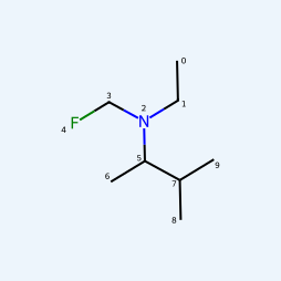 CCN(CF)C(C)C(C)C